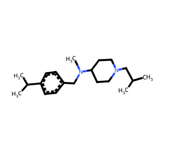 CC(C)CN1CCC(N(C)Cc2ccc(C(C)C)cc2)CC1